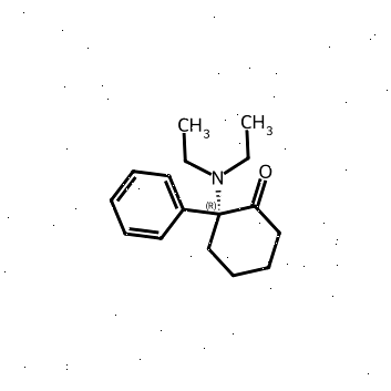 CCN(CC)[C@@]1(c2ccccc2)CCCCC1=O